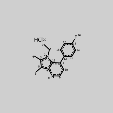 CCn1c(C)c(C)c2nccc(-c3ccc(F)cc3)c21.Cl